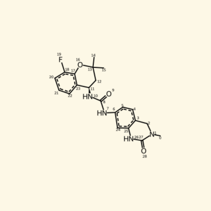 CN1Cc2ccc(NC(=O)N[C@@H]3CC(C)(C)Oc4c(F)cccc43)cc2NC1=O